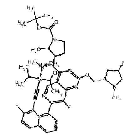 CC(C)[Si](C#Cc1c(F)ccc2cccc(-c3ncc4c(N(C)[C@@H]5CCN(C(=O)OC(C)(C)C)[C@@H]5C)nc(OC[C@@H]5C[C@@H](F)CN5C)nc4c3F)c12)(C(C)C)C(C)C